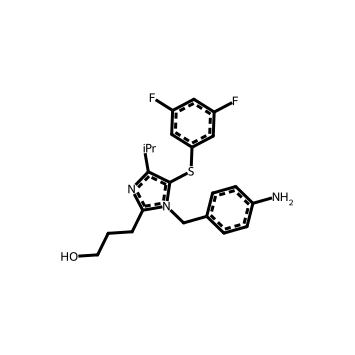 CC(C)c1nc(CCCO)n(Cc2ccc(N)cc2)c1Sc1cc(F)cc(F)c1